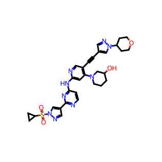 O=S(=O)(C1CC1)n1cc(-c2nccc(Nc3cc(N4CCCC(O)C4)c(C#Cc4cnn(C5CCOCC5)c4)cn3)n2)cn1